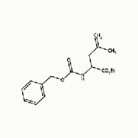 C=C(C)CC(NC(=O)OCc1ccccc1)C(=O)OCC